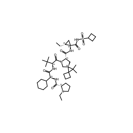 CC[C@@H]1C[C@]1(NC(=O)[C@@H]1C[C@@]2(CN1C(=O)[C@@H](NC(=O)[C@@H](NC(=O)[C@@H]1CCCN1CC)C1CCCCC1)C(C)(C)C)C(C)(C)C21CCC1)C(=O)NS(=O)(=O)C1CCC1